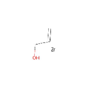 C=CCO.[Zr]